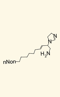 CCCCCCCCCCCCCCCC=CC(CN)N1C=NCC1